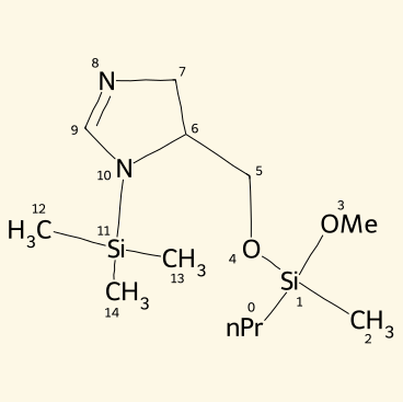 CCC[Si](C)(OC)OCC1CN=CN1[Si](C)(C)C